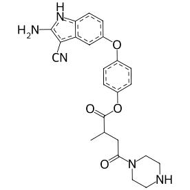 CC(CC(=O)N1CCNCC1)C(=O)Oc1ccc(Oc2ccc3[nH]c(N)c(C#N)c3c2)cc1